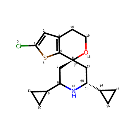 Clc1cc2c(s1)[C@]1(CC(C3CC3)N[C@@H](C3CC3)C1)OCC2